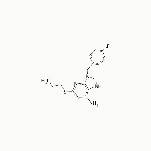 CCCSc1nc(N)c2c(n1)N(Cc1ccc(F)cc1)CN2